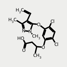 C=Cc1c(C)nn(C)c1Oc1cc(OC(C)CC(=O)O)c(Cl)cc1Cl